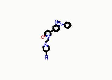 N#CC1CCN(CCn2cc(-c3ccc4c(c3)ncn4-c3ccccc3)ccc2=O)CC1